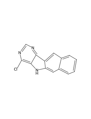 Clc1ncnc2c1[nH]c1cc3ccccc3cc12